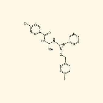 CC(C)(C)C(NC(=O)c1ccc(Cl)cc1)NC1N(OCc2ccc(F)cc2)N1c1cccnc1